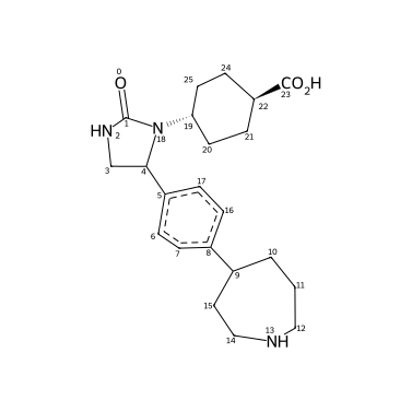 O=C1NCC(c2ccc(C3CCCNCC3)cc2)N1[C@H]1CC[C@H](C(=O)O)CC1